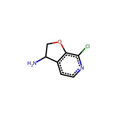 NC1COc2c1ccnc2Cl